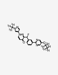 [2H]C([2H])([2H])n1cc(-n2ccc(=O)c(C(F)c3cccc(-c4ncc(OC([2H])([2H])C([2H])([2H])[2H])cn4)c3)n2)cn1